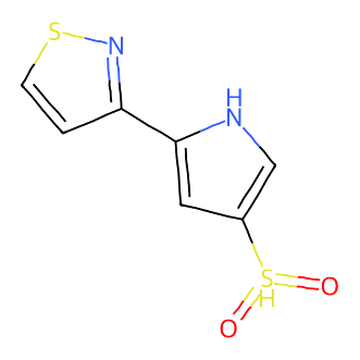 O=[SH](=O)c1c[nH]c(-c2ccsn2)c1